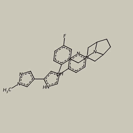 Cn1cc(-c2cc(-c3ccc(N4C5CCC4CN(Cc4cc(F)ccc4O)C5)nc3)c[nH]2)cn1